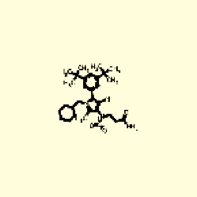 Cc1c(N(CCC(N)=O)[SH](=O)=O)c(Cl)c(-c2cc(C(C)(C)C)cc(C(C)(C)C)c2)n1CC1CCCCC1